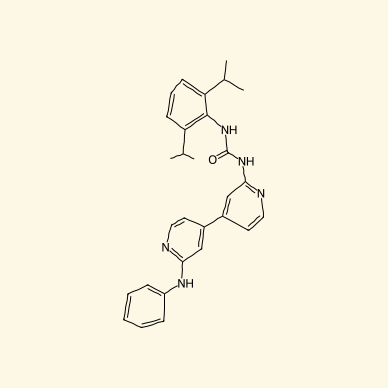 CC(C)c1cccc(C(C)C)c1NC(=O)Nc1cc(-c2ccnc(Nc3ccccc3)c2)ccn1